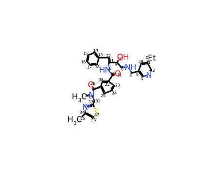 CCc1cncc(CNCC(O)C(Cc2ccccc2)NC(=O)c2cccc(C(=O)N(C)Cc3nc(C)cs3)c2)c1